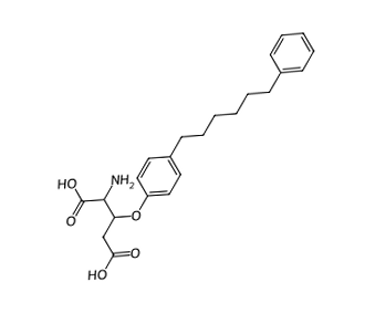 NC(C(=O)O)C(CC(=O)O)Oc1ccc(CCCCCCc2ccccc2)cc1